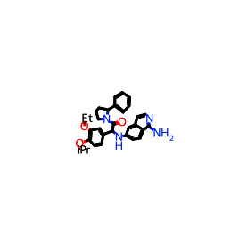 CCOc1cc(C(Nc2ccc3c(N)nccc3c2)C(=O)N2CCCC2c2ccccc2)ccc1OC(C)C